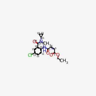 CCOC(=O)/C=C\C(=O)Nc1ccc(Cl)cc1C(=O)N(C)C1CC1